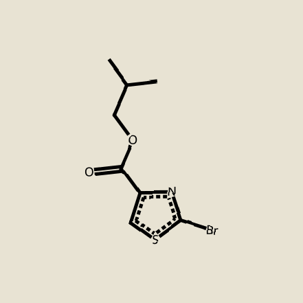 CC(C)COC(=O)c1csc(Br)n1